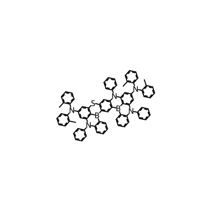 Cc1ccccc1N(c1cc2c3c(c1)N(c1ccccc1)c1ccccc1B3c1cc3c(cc1S2)N(c1ccccc1)c1cc(N(c2ccccc2C)c2ccccc2C)cc2c1B3c1ccccc1N2c1ccccc1)c1ccccc1C